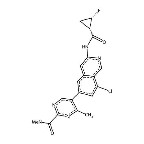 CNC(=O)c1ncc(-c2cc(Cl)c3cnc(NC(=O)[C@@H]4C[C@@H]4F)cc3c2)c(C)n1